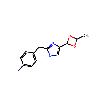 CC1OC(c2c[nH]c(Cc3ccc(I)cc3)n2)O1